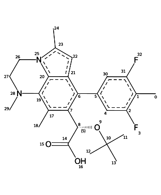 Cc1c(F)cc(-c2c([C@H](OC(C)(C)C)C(=O)O)c(C)c3c4c2cc(C)n4CCN3C)cc1F